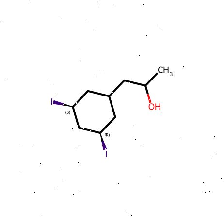 CC(O)CC1C[C@@H](I)C[C@@H](I)C1